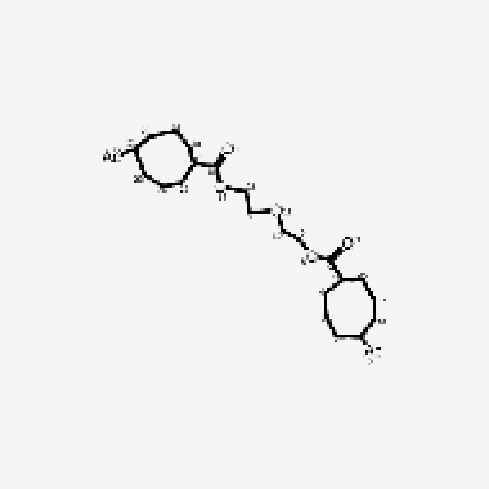 CC(=O)C1CCCC(C(=O)OCCOCCOC(=O)C2CCCC(C(C)=O)CCC2)CCC1